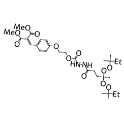 CCC(C)(C)OOC(C)(CCC(=O)NNC(=O)OCCOc1ccc(C=C(C(=O)OC)C(=O)OC)cc1)OOC(C)(C)CC